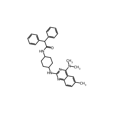 Cc1ccc2nc(NC3CCC(NC(=O)C(c4ccccc4)c4ccccc4)CC3)nc(N(C)C)c2c1